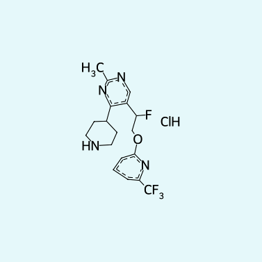 Cc1ncc(C(F)COc2cccc(C(F)(F)F)n2)c(C2CCNCC2)n1.Cl